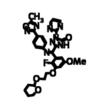 COc1cc(OCCOC2CCCCO2)c(F)c(C(=Nc2ccc(-c3noc(C)n3)cc2)c2nn(-c3ncccn3)c(=O)[nH]2)c1